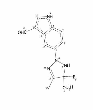 CCC1(C(=O)O)NN(c2ccc3[nH]cc(C=O)c3c2)N=C1C